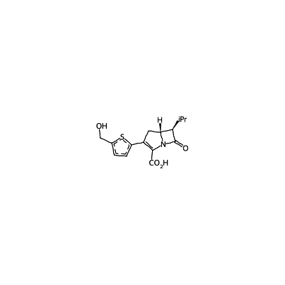 CC(C)[C@H]1C(=O)N2C(C(=O)O)=C(c3ccc(CO)s3)C[C@H]12